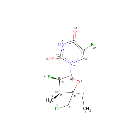 CC[C@@]1(CCl)O[C@@H](n2cc(Br)c(=O)[nH]c2=O)[C@H](F)[C@@H]1C